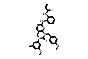 C=CC(=O)Nc1ccccc1Nc1ncc2c(n1)N(Cc1ccc(OC)cc1)C(=O)N(c1cc(C)cc(OC)c1)C2